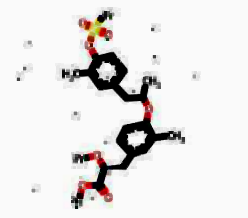 [2H]OC(=O)[C@H](Cc1ccc(OC(C)Cc2ccc(OS(=O)(=O)C(C)C)c(C)c2)c(C)c1)OC(C)C